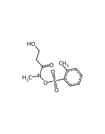 Cc1ccccc1S(=O)(=O)ON(C)C(=O)CCO